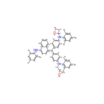 Cc1cc(C)c(Nc2ccc(C(c3ccc(N(CC4CO4)c4c(C)cc(C)cc4C)cc3)c3ccc(N(c4c(C)cc(C)cc4C)C4CCO4)cc3)c3ccccc23)c(C)c1